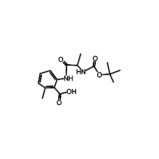 Cc1cccc(NC(=O)C(C)NC(=O)OC(C)(C)C)c1C(=O)O